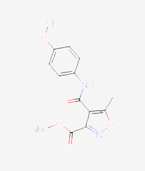 CCCCOC(=O)c1noc(C)c1C(=O)Nc1ccc(OC(F)(F)F)cc1